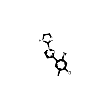 Cc1cc(-c2ccn(C3NCCO3)n2)c(Br)cc1Cl